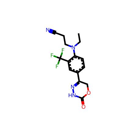 CCN(CCC#N)c1ccc(C2=NNC(=O)OC2)cc1C(F)(F)F